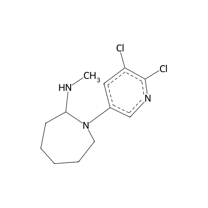 CNC1CCCCCN1c1cnc(Cl)c(Cl)c1